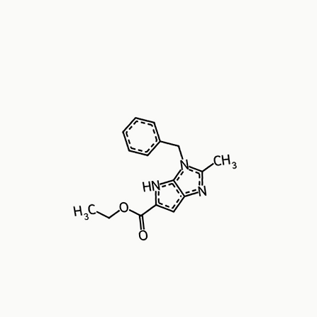 CCOC(=O)c1cc2nc(C)n(Cc3ccccc3)c2[nH]1